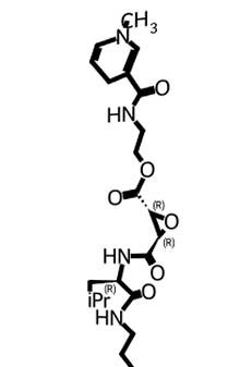 CC(C)CCNC(=O)[C@@H](CC(C)C)NC(=O)[C@@H]1O[C@H]1C(=O)OCCNC(=O)C1=CN(C)C=CC1